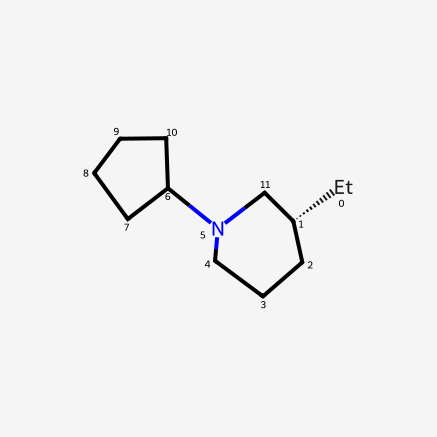 [CH2]C[C@@H]1CCCN(C2CCCC2)C1